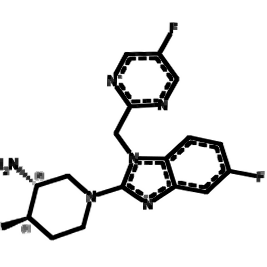 N[C@@H]1CN(c2nc3cc(F)ccc3n2Cc2ncc(F)cn2)CC[C@H]1F